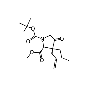 C=CC[C@]1(CCC)C(=O)CN(C(=O)OC(C)(C)C)[C@@H]1C(=O)OC